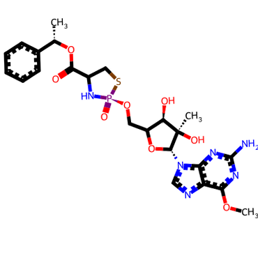 COc1nc(N)nc2c1ncn2[C@@H]1OC(CO[P@@]2(=O)NC(C(=O)O[C@@H](C)c3ccccc3)CS2)[C@@H](O)[C@@]1(C)O